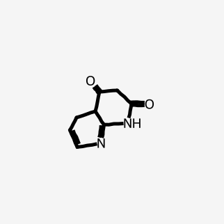 O=C1CC(=O)C2CC=CN=C2N1